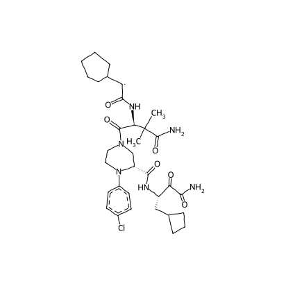 CC(C)(C(N)=O)[C@H](NC(=O)[CH]C1CCCCC1)C(=O)N1CCN(c2ccc(Cl)cc2)[C@@H](C(=O)N[C@@H](CC2CCC2)C(=O)C(N)=O)C1